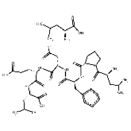 CC(C)C[C@H](N)C(=O)O.CC(C)C[C@H](NC(=O)[C@H](CCC(N)=O)NC(=O)[C@H](CC(N)=O)NC(=O)[C@H](Cc1ccccc1)NC(=O)[C@@H]1CCCN1C(=O)[C@@H](N)CC(C)C)C(=O)O